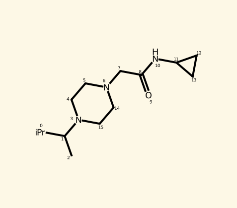 CC(C)C(C)N1CCN(CC(=O)NC2CC2)CC1